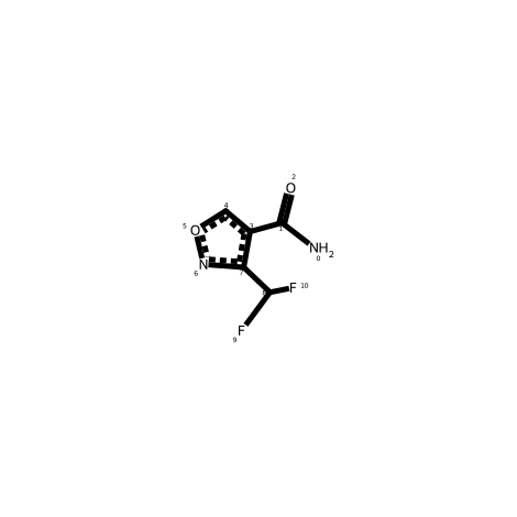 NC(=O)c1conc1C(F)F